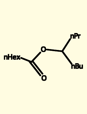 CCCCCCC(=O)OC(CCC)CCCC